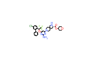 Nc1nc(OC(c2ccc(Cl)cc2-c2ccccc2)C(F)(F)F)cc(N2CCC3(CC2)CN[C@H](C(=O)OC2CCOCC2)C3)n1